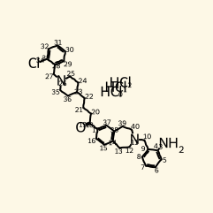 Cl.Cl.Cl.Nc1ccccc1CN1CCc2ccc(C(=O)CCCC3CCN(Cc4ccccc4Cl)CC3)cc2CC1